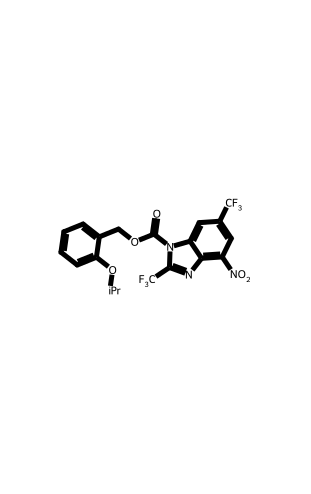 CC(C)Oc1ccccc1COC(=O)n1c(C(F)(F)F)nc2c([N+](=O)[O-])cc(C(F)(F)F)cc21